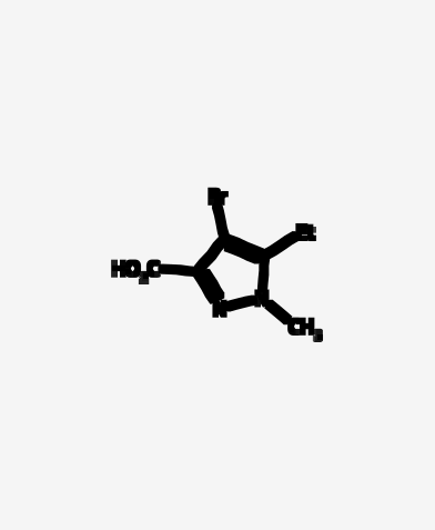 CCc1c(Br)c(C(=O)O)nn1C